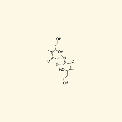 CN(C(=O)c1cnc(C(=O)N(C)C(O)CCO)cn1)C(O)CCO